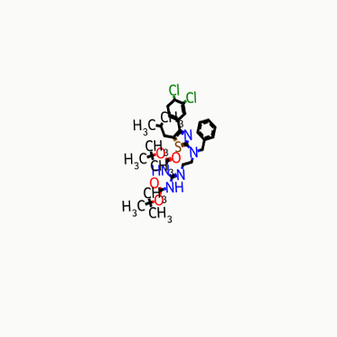 CC(C)Cc1sc(N(CCN=C(NC(=O)OC(C)(C)C)NC(=O)OC(C)(C)C)Cc2ccccc2)nc1C1=CCC(Cl)C(Cl)=C1